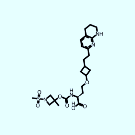 CC1(OC(=O)N[C@@H](CCOC2CC(CCc3ccc4c(n3)NCCC4)C2)C(=O)O)CN(S(C)(=O)=O)C1